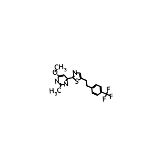 COc1cc(-c2ncc(CCc3ccc(C(F)(F)F)cc3)s2)nc(C)n1